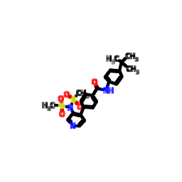 CC(C)(C)c1ccc(NC(=O)c2ccc(-c3ccncc3N(S(C)(=O)=O)S(C)(=O)=O)cc2)cc1